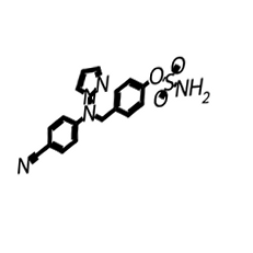 N#Cc1ccc(N(Cc2ccc(OS(N)(=O)=O)cc2)n2cccn2)cc1